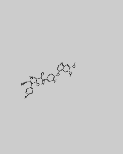 COc1cc2nccc(Oc3ccc(NC(=O)c4cn(C)c(C#N)c(-c5ccc(F)cc5)c4=O)cc3F)c2cc1OC